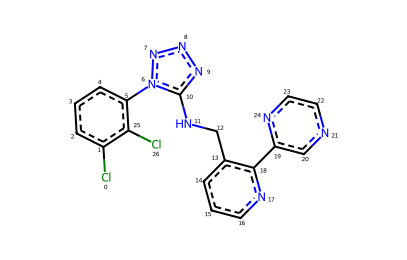 Clc1cccc(-n2nnnc2NCc2cccnc2-c2cnccn2)c1Cl